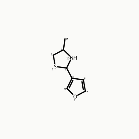 CC1CS[C](c2ccoc2)N1